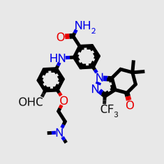 CN(C)CCOc1cc(Nc2cc(-n3nc(C(F)(F)F)c4c3CC(C)(C)CC4=O)ccc2C(N)=O)ccc1C=O